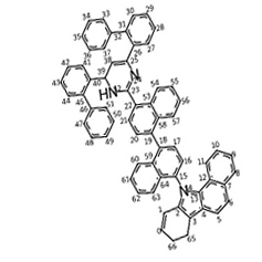 C1=Cc2c(c3ccc4ccccc4c3n2-c2ccc(-c3ccc(C4=NC(c5ccccc5-c5ccccc5)=CC(c5ccccc5-c5ccccc5)N4)c4ccccc34)c3ccccc23)CC1